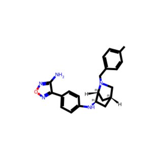 Cc1ccc(CN2C[C@H]3C[C@@H]2[C@H](Nc2ccc(-c4nonc4N)cc2)C3)cc1